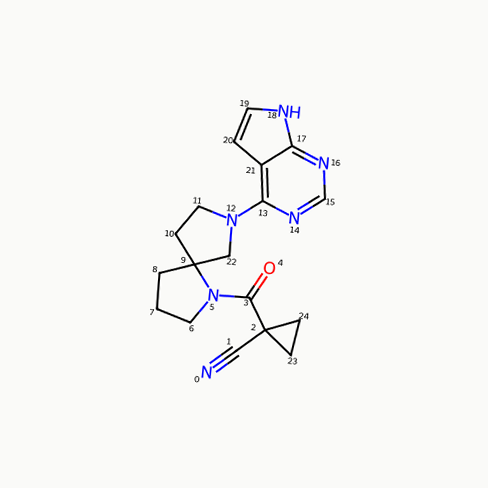 N#CC1(C(=O)N2CCCC23CCN(c2ncnc4[nH]ccc24)C3)CC1